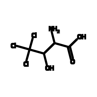 NC(C(=O)O)C(O)C(Cl)(Cl)Cl